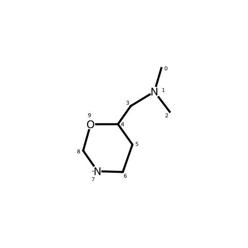 CN(C)CC1CC[N]CO1